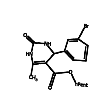 CCCCCOC(=O)C1=C(C)NC(=O)NC1c1cccc(Br)c1